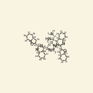 CNC(CN(C)C)(c1nc(-c2cc3ccccc3o2)nc2ccccc12)C(CC(N)c1nc(-c2cc3ccccc3o2)nc2ccccc12)N(C)C